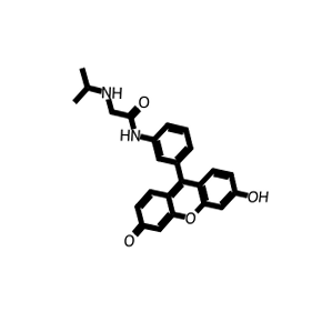 CC(C)NCC(=O)Nc1cccc(-c2c3ccc(=O)cc-3oc3cc(O)ccc23)c1